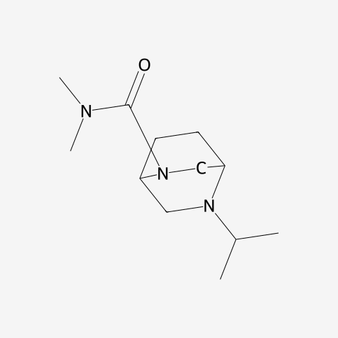 CC(C)N1CC2CCC1CN2C(=O)N(C)C